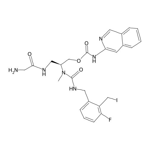 CN(C(=O)NCc1cccc(F)c1CI)[C@@H](CNC(=O)CN)COC(=O)Nc1cc2ccccc2cn1